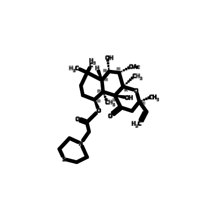 C=C[C@@]1(C)CC(=O)[C@]2(O)[C@@]3(C)[C@@H](OC(=O)CN4CCSCC4)CCC(C)(C)[C@@H]3[C@H](O)[C@H](OC(C)=O)[C@@]2(C)O1